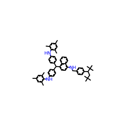 Cc1cc(C)c(Nc2ccc(C(c3ccc(Nc4c(C)cc(C)cc4C)cc3)c3ccc(NCc4ccc(C(CC(C)(C)C)C(C)(C)C)cc4)c4ccccc34)cc2)c(C)c1